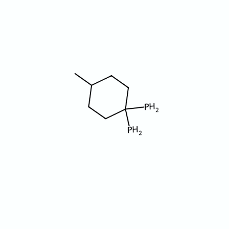 CC1CCC(P)(P)CC1